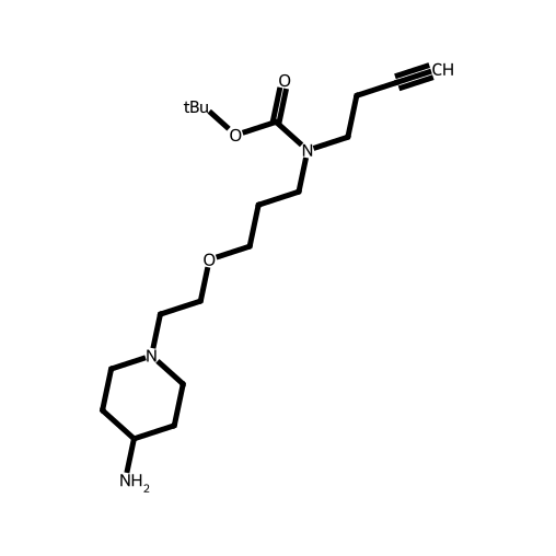 C#CCCN(CCCOCCN1CCC(N)CC1)C(=O)OC(C)(C)C